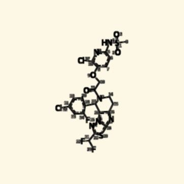 CS(=O)(=O)Nc1ccc(OCC(=O)N2CCc3nc4sc(C(F)F)nn4c3C2c2ccc(Cl)cc2F)c(Cl)n1